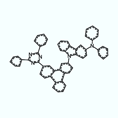 c1ccc(-c2nc(-c3ccccc3)nc(-c3ccc4c5ccccc5c5ccc(-n6c7ccccc7c7cc(N(c8ccccc8)c8ccccc8)ccc76)cc5c4c3)n2)cc1